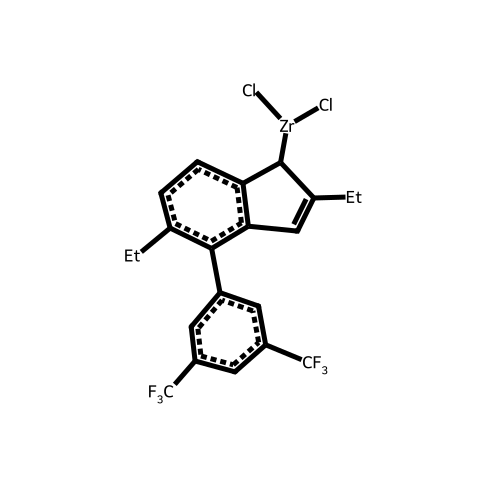 CCC1=Cc2c(ccc(CC)c2-c2cc(C(F)(F)F)cc(C(F)(F)F)c2)[CH]1[Zr]([Cl])[Cl]